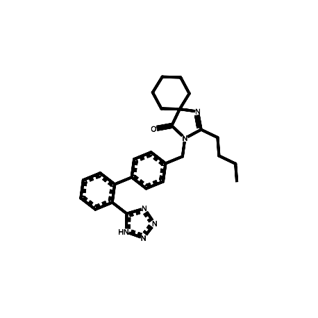 CCCCC1=NC2(CCCCC2)C(=O)N1Cc1ccc(-c2ccccc2-c2nnn[nH]2)cc1